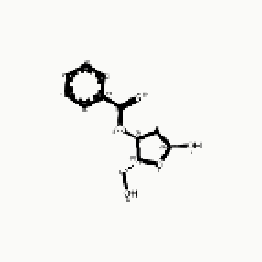 OC[C@H]1O[C@H](O)C[C@@H]1OC(=S)c1ccccc1